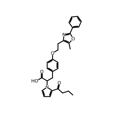 CCCC(=O)c1cccn1C(Cc1ccc(OCCc2nc(-c3ccccc3)oc2C)cc1)C(=O)O